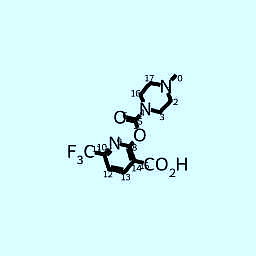 CN1CCN(C(=O)Oc2nc(C(F)(F)F)ccc2C(=O)O)CC1